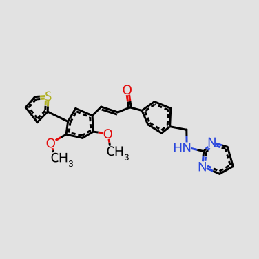 COc1cc(OC)c(-c2cccs2)cc1/C=C/C(=O)c1ccc(CNc2ncccn2)cc1